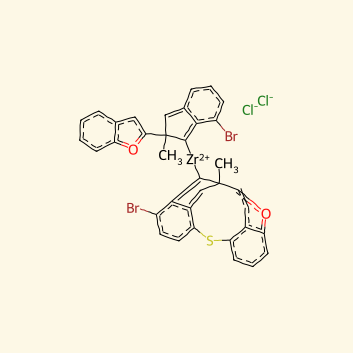 CC1(c2cc3ccccc3o2)C=c2cccc(Br)c2=[C]1[Zr+2][C]1=c2c(Br)ccc3c2=CC1(C)c1cc2c(cccc2o1)S3.[Cl-].[Cl-]